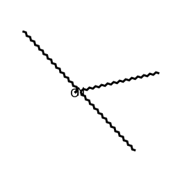 CCCCCCCCCCCCCCCCCCCCCCCCCCC(=O)N(CCCCCCCCCCCCCCCCCCCCCCCCCC)CCCCCCCCCCCCCCCCCCCCCCCCCC